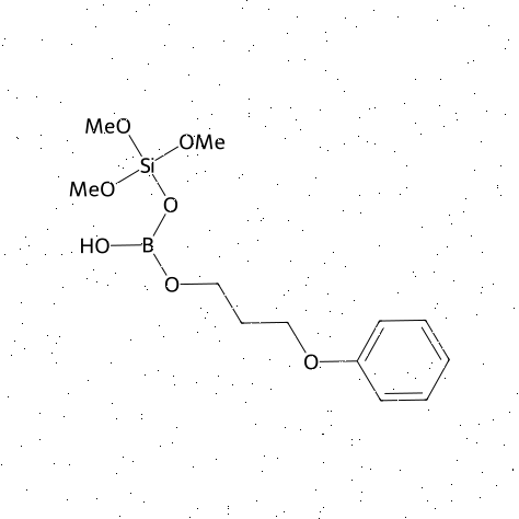 CO[Si](OC)(OC)OB(O)OCCCOc1ccccc1